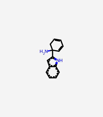 NC1(c2cc3ccccc3[nH]2)C=CC=[C]C1